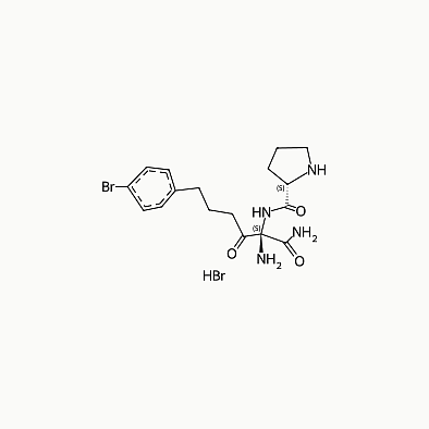 Br.NC(=O)[C@@](N)(NC(=O)[C@@H]1CCCN1)C(=O)CCCc1ccc(Br)cc1